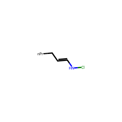 CCCCC=CNCl